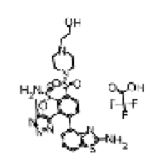 Nc1nc2c(-c3ccc(S(=O)(=O)N4CCN(CCO)CC4)c(S(N)(=O)=O)c3-c3nnn[nH]3)cccc2s1.O=C(O)C(F)(F)F